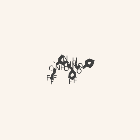 C[C@@H](NC(=O)CCC(F)(F)F)c1ccnc(NC(=O)[C@@H](NC(=O)OCc2ccccc2)C2CCC(F)(F)CC2)c1